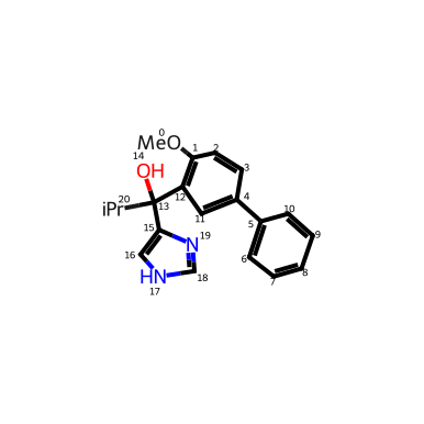 COc1ccc(-c2ccccc2)cc1C(O)(c1c[nH]cn1)C(C)C